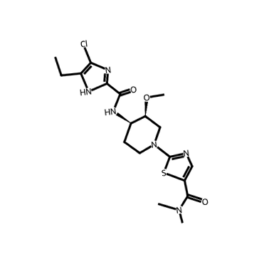 CCc1[nH]c(C(=O)N[C@@H]2CCN(c3ncc(C(=O)N(C)C)s3)C[C@@H]2OC)nc1Cl